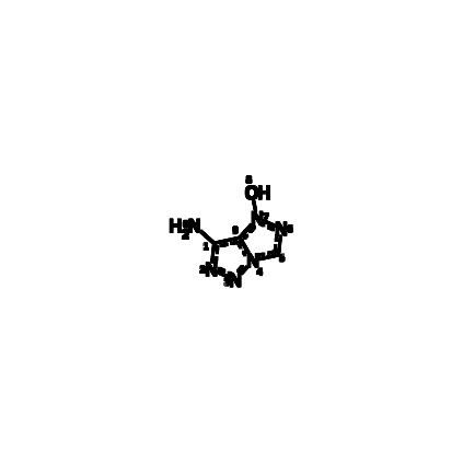 Nc1nnn2cnn(O)c12